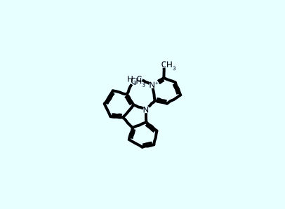 Cc1cccc2c3ccccc3n(-c3cccc(C)[n+]3C)c12